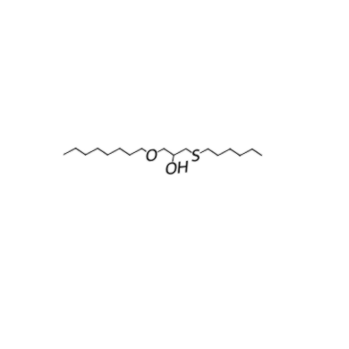 CCCCCCCCOCC(O)CSCCCCCC